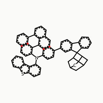 c1ccc(-c2cccc3cccc(-c4ccccc4N(c4ccc(-c5ccc6c(c5)C5(c7ccccc7-6)C6CC7CC8CC5C86C7)cc4)c4cccc5sc6ccccc6c45)c23)cc1